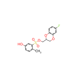 Cc1ccc(O)cc1S(=O)(=O)OCC1COc2cc(F)ccc2O1